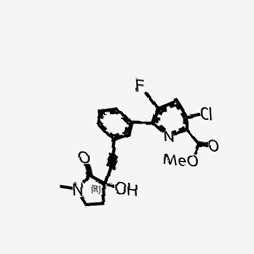 COC(=O)c1nc(-c2cccc(C#C[C@]3(O)CCN(C)C3=O)c2)c(F)cc1Cl